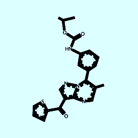 Cc1cnc2c(C(=O)c3cccs3)cnn2c1-c1cccc(NC(=O)OC(C)C)c1